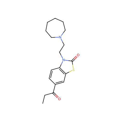 CCC(=O)c1ccc2c(c1)sc(=O)n2CCN1CCCCCC1